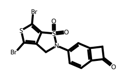 O=C1Cc2cc(N3Cc4c(Br)sc(Br)c4S3(=O)=O)ccc21